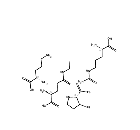 CCNC(=O)CC[C@H](N)C(=O)O.NC(=O)NCCC[C@H](N)C(=O)O.NCCC[C@H](N)C(=O)O.O=C(O)[C@H]1NCCC1O